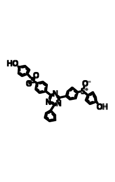 O=S(=O)(c1ccc(O)cc1)c1ccc(-c2nc(-c3ccccc3)nc(-c3ccc([S+]([O-])c4ccc(O)cc4)cc3)n2)cc1